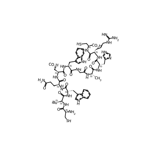 CC[C@H](C)[C@H](NC(=O)[C@@H](N)CS)C(=O)N[C@@H](Cc1c[nH]c2ccccc12)C(=O)N[C@@H](CCC(N)=O)C(=O)N[C@@H](CC(=O)O)C(=O)N[C@@H](Cc1c[nH]c2ccccc12)C(=O)NCC(=O)N[C@@H](C)C(=O)N[C@@H](Cc1c[nH]cn1)C(=O)N[C@@H](CCCNC(=N)N)C(=O)N[C@@H](CS)C(=O)O